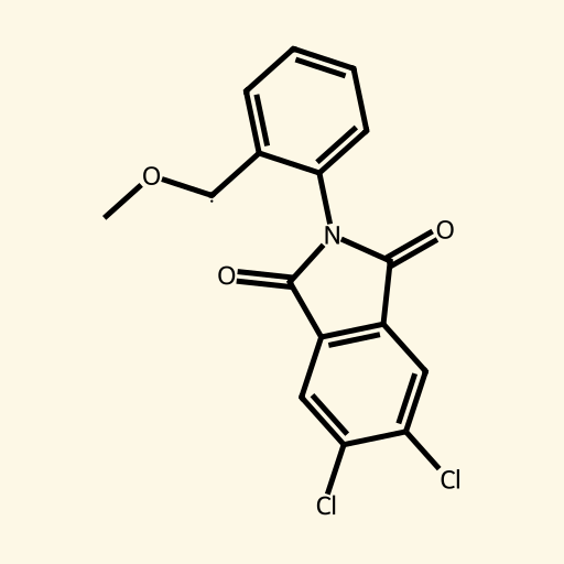 CO[CH]c1ccccc1N1C(=O)c2cc(Cl)c(Cl)cc2C1=O